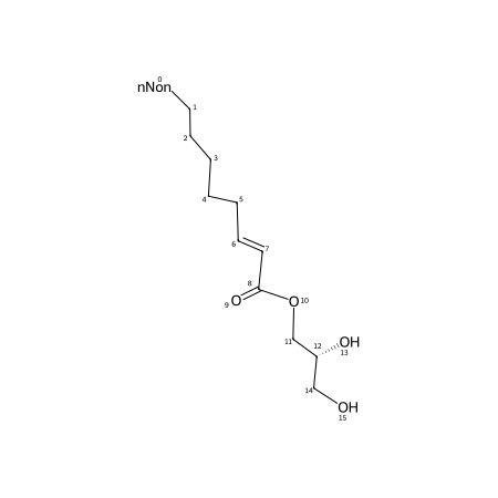 CCCCCCCCCCCCCCC=CC(=O)OC[C@H](O)CO